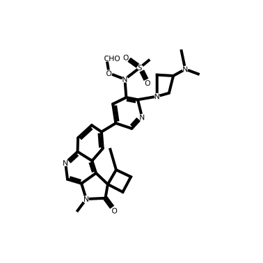 CC1CCC12C(=O)N(C)c1cnc3ccc(-c4cnc(N5CC(N(C)C)C5)c(N(OC=O)S(C)(=O)=O)c4)cc3c12